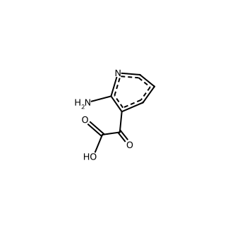 Nc1ncccc1C(=O)C(=O)O